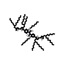 CCCCCCCCC(CCCCCC)Cc1csc(-c2cc(CC(CCCCCC)CCCCCCCC)c(-c3ccc4c(c3)N(CCCCCCCC)C(=O)/C4=C3/C(=O)N(CCCCCCCC)c4cc(-c5sc(-c6cc(CC(CCCCCC)CCCCCCCC)cs6)cc5CC(CCCCCC)CCCCCCCC)ccc43)s2)c1